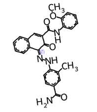 COc1ccccc1NC(=O)C1=Cc2ccccc2/C(=N/Nc2ccc(C(N)=O)cc2C)C1=O